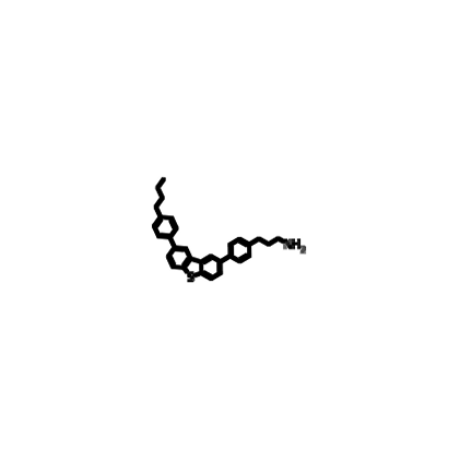 CCCCc1ccc(-c2ccc3sc4ccc(-c5ccc(CCCN)cc5)cc4c3c2)cc1